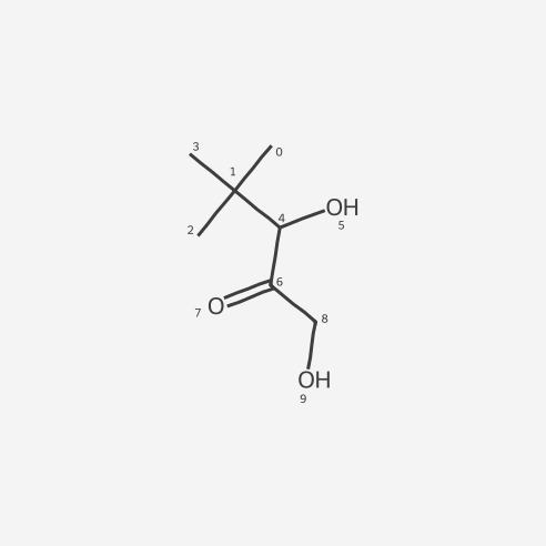 CC(C)(C)C(O)C(=O)CO